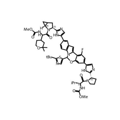 COC(=O)NC(C(=O)N1[C@@H]2CC2C[C@H]1c1ncc(-c2ccc3c(c2)cc2n3C(c3cnc(C(C)(C)C)s3)Oc3cc(-c4cnc([C@@H]5CCCN5C(=O)[C@@H](NC(=O)OC)C(C)C)[nH]4)cc(F)c3-2)[nH]1)C1CCOC(C)(C)C1